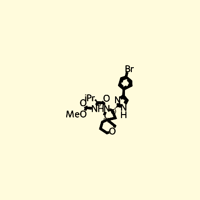 COC(=O)N[C@H](C(=O)N1C[C@]2(CCCOC2)C[C@H]1c1nc(-c2ccc(Br)cc2)c[nH]1)C(C)C